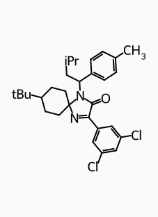 Cc1ccc(C(CC(C)C)N2C(=O)C(c3cc(Cl)cc(Cl)c3)=NC23CCC(C(C)(C)C)CC3)cc1